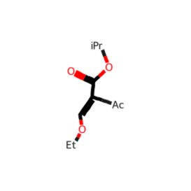 CCO/C=C(\C(C)=O)C(=O)OC(C)C